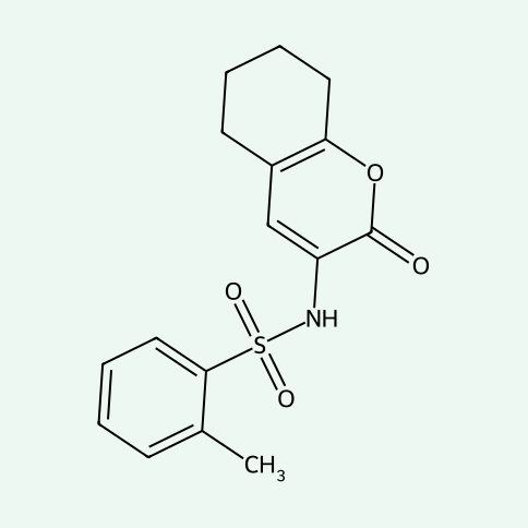 Cc1ccccc1S(=O)(=O)Nc1cc2c(oc1=O)CCCC2